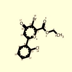 CCOC(=O)c1oc(-c2ccccc2Cl)cc(=O)c1Br